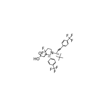 CC(C)(C)C[C@@H](C#Cc1ccc(C(F)(F)F)cc1)N1CCC(F)(F)[C@H](CC(=O)O)[C@H]1c1ccc(C(F)(F)F)cc1